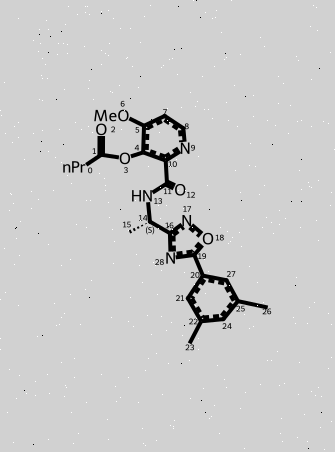 CCCC(=O)Oc1c(OC)ccnc1C(=O)N[C@@H](C)c1noc(-c2cc(C)cc(C)c2)n1